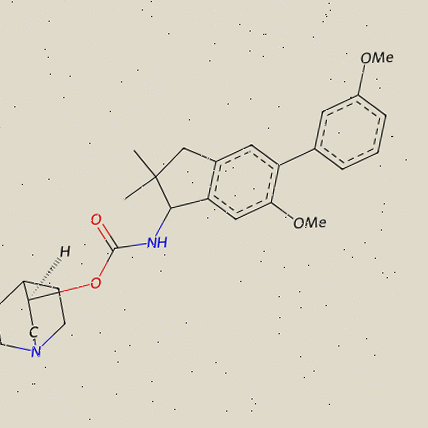 COc1cccc(-c2cc3c(cc2OC)C(NC(=O)O[C@H]2CN4CCC2CC4)C(C)(C)C3)c1